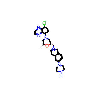 C[C@@H]1CN(c2ccc(Cl)c3nccnc23)C[C@H](CN2CCc3cc(N4CCNCC4)ccc3C2)O1